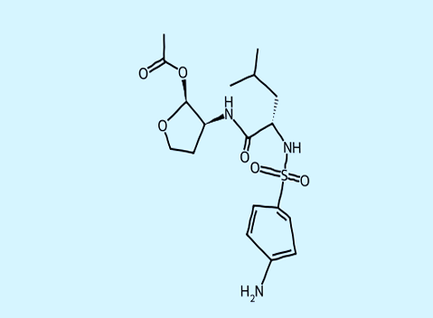 CC(=O)O[C@@H]1OCC[C@@H]1NC(=O)[C@H](CC(C)C)NS(=O)(=O)c1ccc(N)cc1